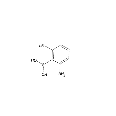 CCCc1cccc(N)c1B(O)O